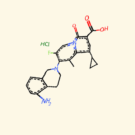 Cc1c(N2CCc3c(N)cccc3C2)c(F)cn2c(=O)c(C(=O)O)cc(C3CC3)c12.Cl